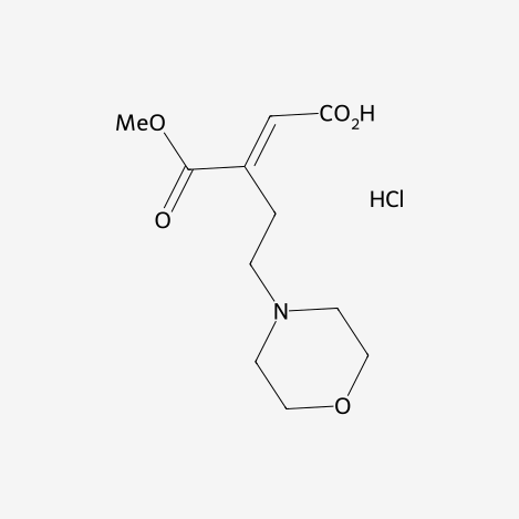 COC(=O)/C(=C/C(=O)O)CCN1CCOCC1.Cl